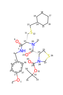 COc1ccc(CNC(=O)[C@H](CSCC2CCCCC2)N(C)C(=O)[C@@H]2CSCN2C(=O)OC(C)(C)C)cc1